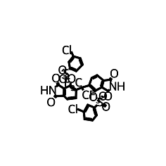 O=C1NC(=O)c2c1ccc(C(c1ccc3c(c1OS(=O)(=O)c1cccc(Cl)c1)C(=O)NC3=O)(C(F)(F)F)C(F)(F)F)c2OS(=O)(=O)c1cccc(Cl)c1